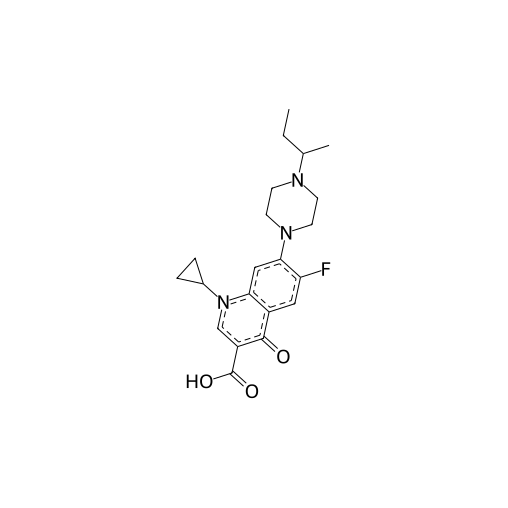 CCC(C)N1CCN(c2cc3c(cc2F)c(=O)c(C(=O)O)cn3C2CC2)CC1